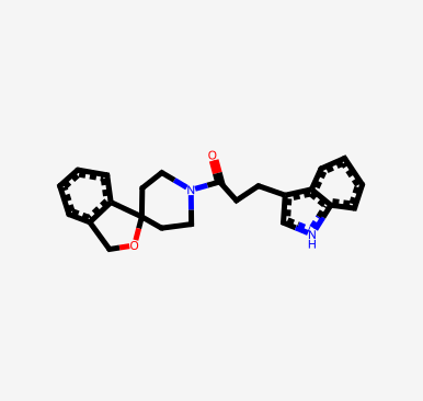 O=C(CCc1c[nH]c2ccccc12)N1CCC2(CC1)OCc1ccccc12